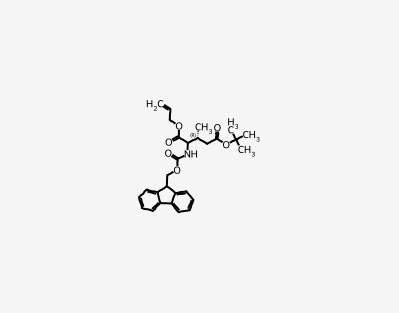 C=CCOC(=O)C(NC(=O)OCC1c2ccccc2-c2ccccc21)[C@H](C)CC(=O)OC(C)(C)C